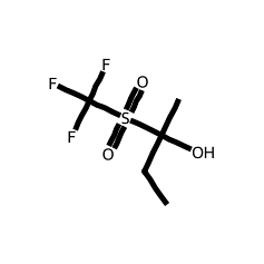 CCC(C)(O)S(=O)(=O)C(F)(F)F